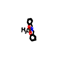 CS(=O)(=O)N(Cc1ccccc1)Cc1ccccc1